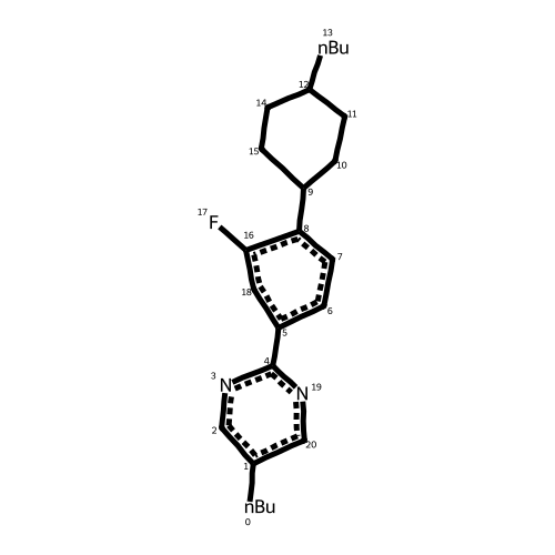 CCCCc1cnc(-c2ccc(C3CCC(CCCC)CC3)c(F)c2)nc1